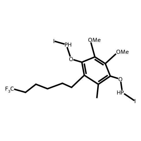 COc1c(OPI)c(C)c(CCCCCC(F)(F)F)c(OPI)c1OC